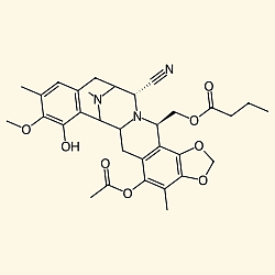 CCCC(=O)OC[C@H]1c2c(c(OC(C)=O)c(C)c3c2OCO3)CC2C3c4c(cc(C)c(OC)c4O)CC([C@H](C#N)N21)N3C